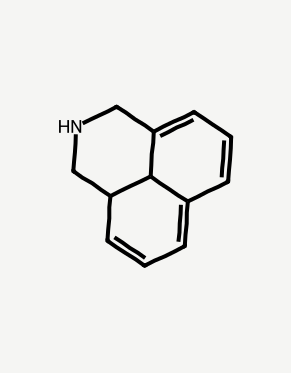 C1=CC2=CC=CC3CNCC(=C1)C23